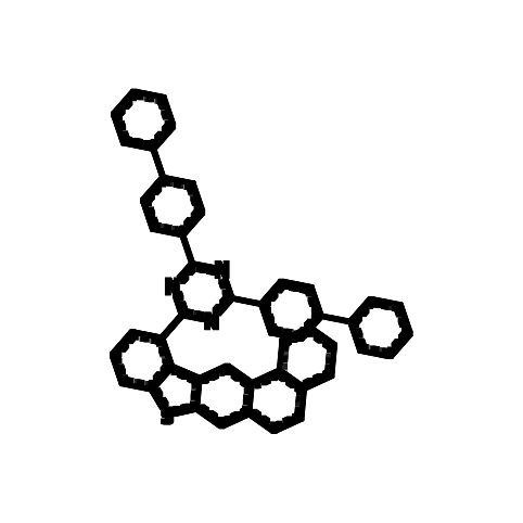 c1ccc(-c2ccc(-c3nc(-c4ccc(-c5ccccc5)cc4)nc(-c4cccc5sc6cc7ccc8ccccc8c7cc6c45)n3)cc2)cc1